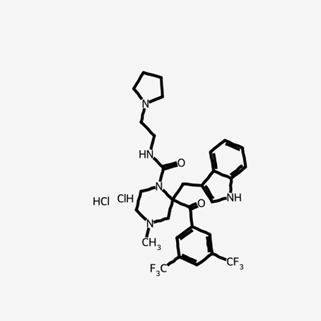 CN1CCN(C(=O)NCCN2CCCC2)C(Cc2c[nH]c3ccccc23)(C(=O)c2cc(C(F)(F)F)cc(C(F)(F)F)c2)C1.Cl.Cl